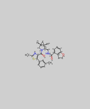 Cc1cccc(-c2sc(C)nc2C(=O)N2C[C@@H]3C[C@@H]3[C@H]2CNC(=O)c2cccc3c2CCO3)c1